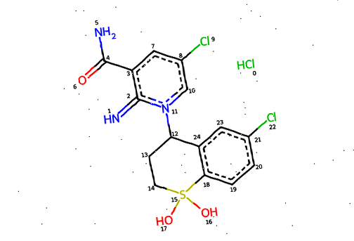 Cl.N=c1c(C(N)=O)cc(Cl)cn1C1CCS(O)(O)c2ccc(Cl)cc21